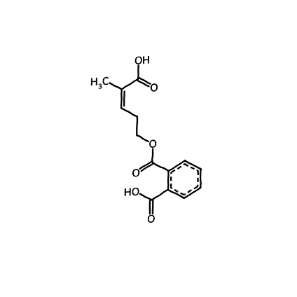 CC(=CCCOC(=O)c1ccccc1C(=O)O)C(=O)O